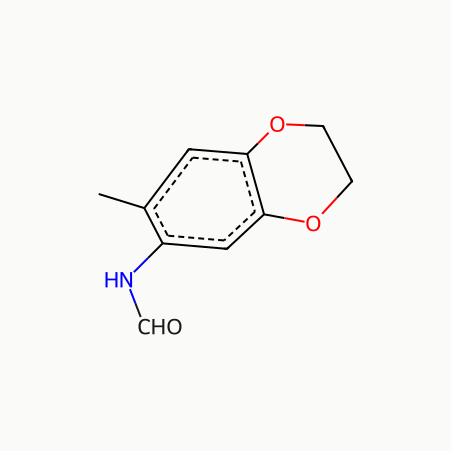 Cc1cc2c(cc1NC=O)OCCO2